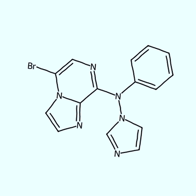 Brc1cnc(N(c2ccccc2)n2ccnc2)c2nccn12